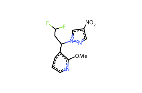 COc1ncccc1C(CC(F)F)n1cc([N+](=O)[O-])cn1